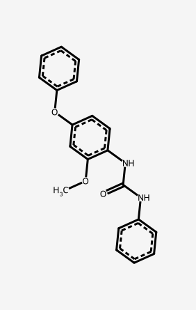 COc1cc(Oc2ccccc2)ccc1NC(=O)Nc1ccccc1